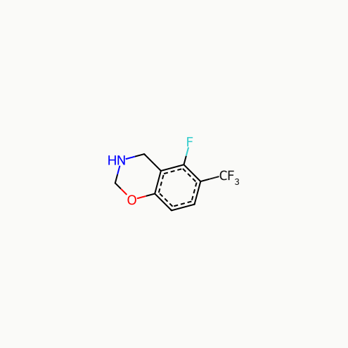 Fc1c(C(F)(F)F)ccc2c1CNCO2